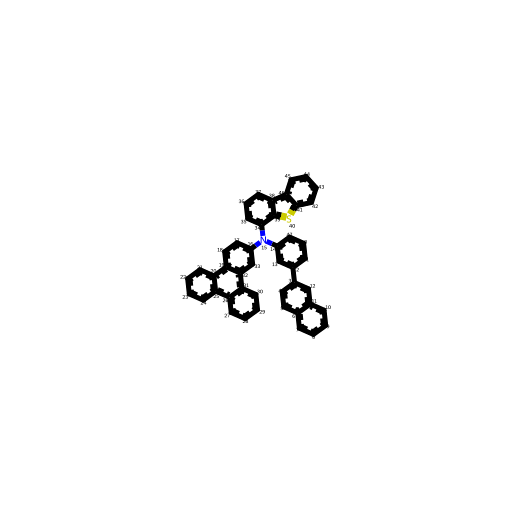 c1cc(-c2ccc3ccccc3c2)cc(N(c2ccc3c4ccccc4c4ccccc4c3c2)c2cccc3c2sc2ccccc23)c1